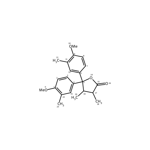 COc1ccc(C2(c3ccc(OC)c(C)c3)OC(=O)C(C)C2C)cc1C